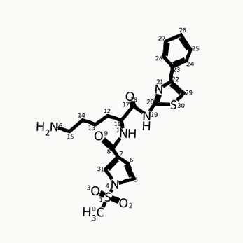 CS(=O)(=O)n1ccc(C(=O)NC(CCCCN)C(=O)Nc2nc(-c3ccccc3)cs2)c1